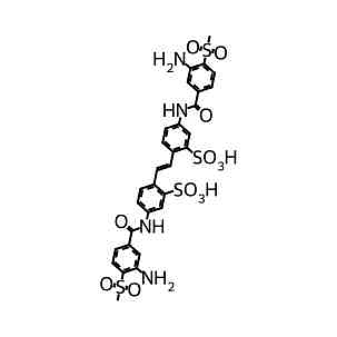 CS(=O)(=O)c1ccc(C(=O)Nc2ccc(C=Cc3ccc(NC(=O)c4ccc(S(C)(=O)=O)c(N)c4)cc3S(=O)(=O)O)c(S(=O)(=O)O)c2)cc1N